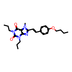 CCCCOc1ccc(C=Cc2nc3c(c(=O)n(CCC)c(=O)n3CCC)n2C)cc1